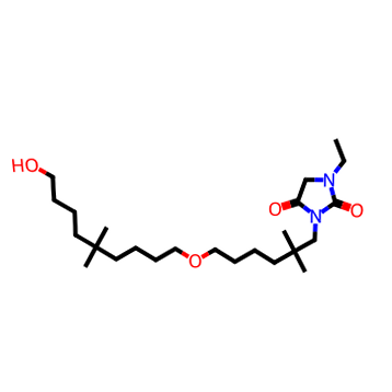 CCN1CC(=O)N(CC(C)(C)CCCCOCCCCC(C)(C)CCCCO)C1=O